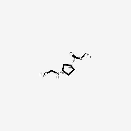 CCN[C@H]1CC[C@@H](C(=O)OC)C1